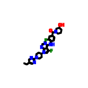 CCc1cnc(N2CCC(n3cc(F)c4c(Nc5ccc(C(=O)N6CCC[C@H](O)C6)cc5F)ncnc43)CC2)nc1